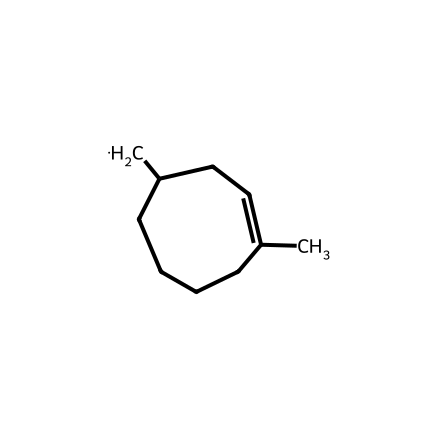 [CH2]C1CC=C(C)CCCC1